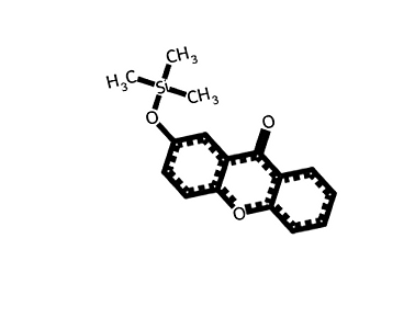 C[Si](C)(C)Oc1ccc2oc3ccccc3c(=O)c2c1